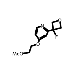 COCCOc1ccnc(C2(F)COC2)c1